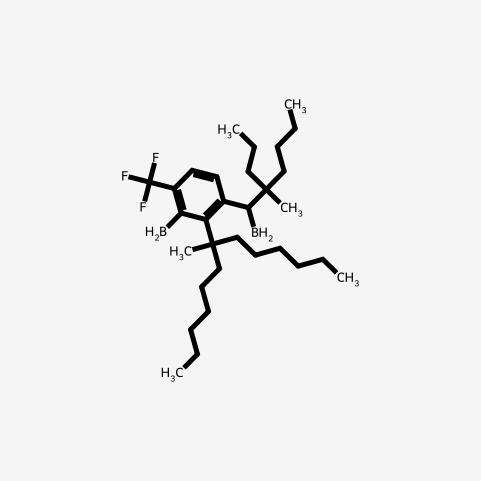 Bc1c(C(F)(F)F)ccc(C(B)C(C)(CCC)CCCC)c1C(C)(CCCCCC)CCCCCC